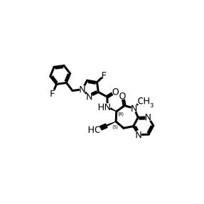 C#C[C@@H]1Cc2nccnc2N(C)C(=O)[C@@H]1NC(=O)c1nn(Cc2ccccc2F)cc1F